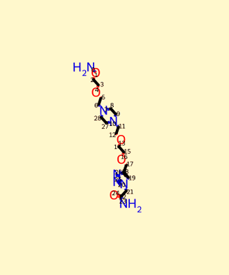 NOCCOCCN1CCN(CCOCCOCc2cn(CC(N)=O)nn2)CC1